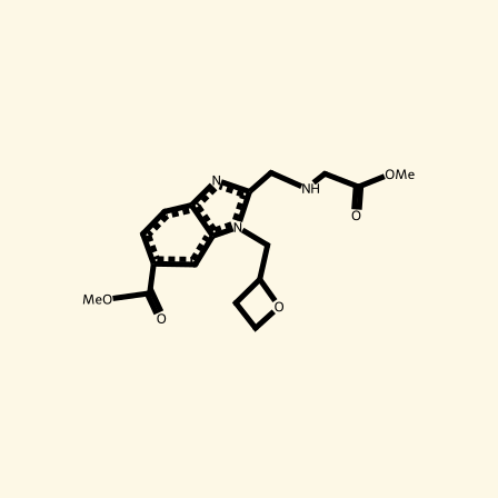 COC(=O)CNCc1nc2ccc(C(=O)OC)cc2n1CC1CCO1